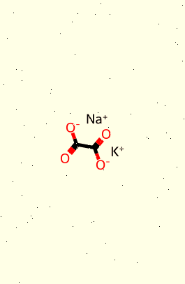 O=C([O-])C(=O)[O-].[K+].[Na+]